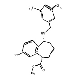 CC(C)(C)OC(=O)N1CCCC(NCc2cc(C(F)(F)F)cc(C(F)(F)F)c2)c2ccc(Cl)cc21